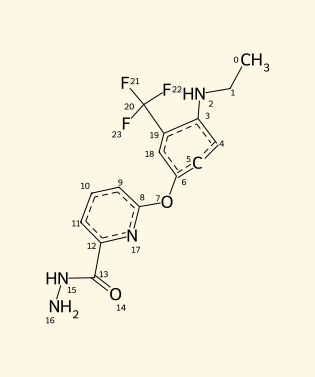 CCNc1ccc(Oc2cccc(C(=O)NN)n2)cc1C(F)(F)F